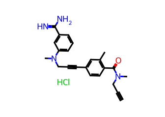 C#CCN(C)C(=O)c1ccc(C#CCN(C)c2cccc(C(=N)N)c2)cc1C.Cl